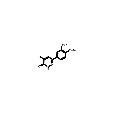 COc1ccc(-c2cc(C)c(=O)[nH]n2)cc1OC